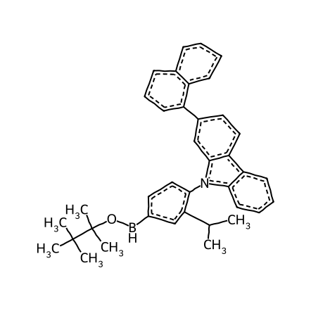 CC(C)c1cc(BOC(C)(C)C(C)(C)C)ccc1-n1c2ccccc2c2ccc(-c3cccc4ccccc34)cc21